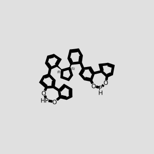 c1ccc([C@H]2CCC[C@H]2c2ccccc2-c2ccc3o[pH]oc4ccccc4c3c2)c(-c2ccc3o[pH]oc4ccccc4c3c2)c1